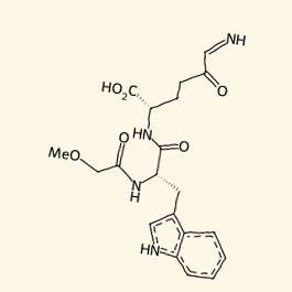 COCC(=O)N[C@@H](Cc1c[nH]c2ccccc12)C(=O)N[C@@H](CCC(=O)C=N)C(=O)O